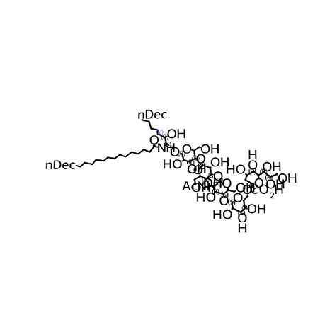 CCCCCCCCCCCCC/C=C/[C@@H](O)[C@H](CO[C@@H]1OC(CO)[C@@H](O[C@@H]2OC(CO)[C@H](O)[C@H](O[C@@H]3OC(CO)[C@@H](O[C@@H]4OC(CO[C@]5(C(=O)O)CC(O)[C@@H](O)C([C@H](O)[C@H](O)CO)O5)[C@H](O)[C@H](O)C4O)[C@H](O)C3NC(C)=O)C2O)[C@H](O)C1O)NC(=O)CCCCCCCCCCCCCCCCCCCCCCC